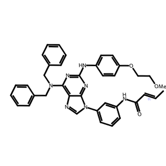 C/C=C/C(=O)Nc1cccc(-n2cnc3c(N(Cc4ccccc4)Cc4ccccc4)nc(Nc4ccc(OCCOC)cc4)nc32)c1